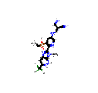 CCS(=O)(=O)c1cc(N/C=C(/C#N)C=N)cnc1-c1nc2cc(C(F)(F)F)nnc2n1C